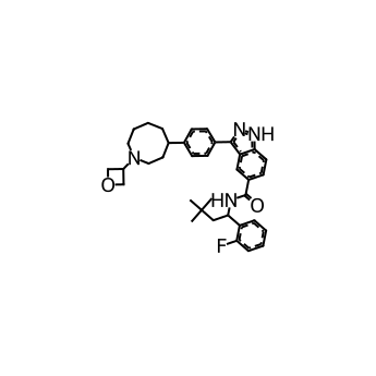 CC(C)(C)CC(NC(=O)c1ccc2[nH]nc(-c3ccc(C4CCCCN(C5COC5)CC4)cc3)c2c1)c1ccccc1F